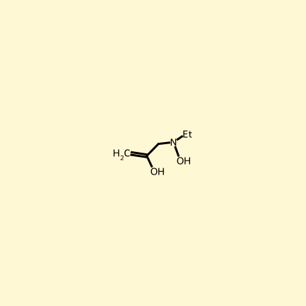 C=C(O)CN(O)CC